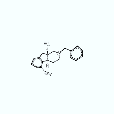 COc1cccc2c1[C@@H]1CCN(Cc3ccccc3)C[C@H]1C2.Cl